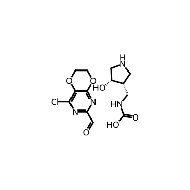 O=C(O)NC[C@H]1CNC[C@H]1O.O=Cc1nc(Cl)c2c(n1)OCCO2